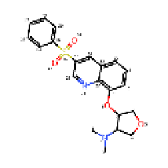 CN(C)C1COCC1Oc1cccc2cc(S(=O)(=O)c3ccccc3)cnc12